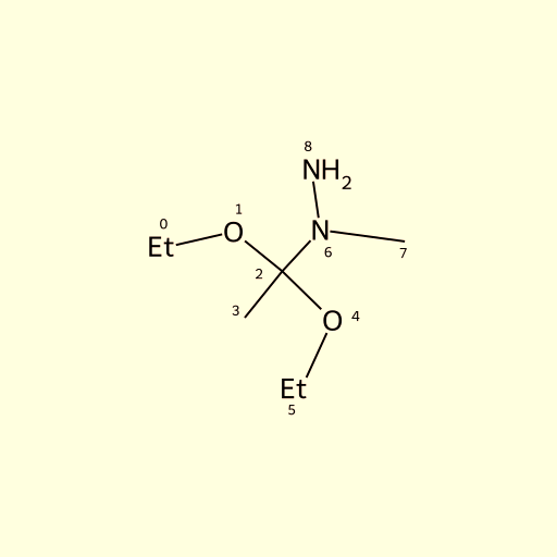 CCOC(C)(OCC)N(C)N